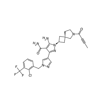 CC#CC(=O)N1CC[C@]2(C1)C[C@H](n1nc(-c3cnn(Cc4cccc(C(F)(F)F)c4Cl)c3)c(C(N)=O)c1N)C2